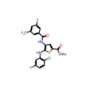 COC(=O)c1cc(NC(=O)c2cc(F)cc(C(F)(F)F)c2)c(Nc2cc(F)ccc2Cl)s1